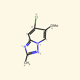 COc1cn2nc(C)nc2cc1Cl